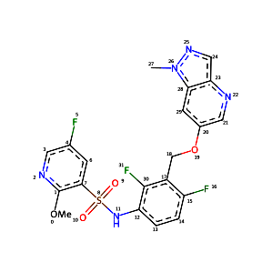 COc1ncc(F)cc1S(=O)(=O)Nc1ccc(F)c(COc2cnc3cnn(C)c3c2)c1F